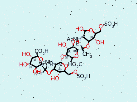 CCCC(C)(OC1[C@@H](O)C(COS(=O)(=O)O)O[C@@H](O[C@@H]2C(C(=O)O)O[C@@H](C(C)(CC)OC3[C@@H](O)C(COS(=O)(=O)O)OC(O)[C@H]3NC(C)=O)C(O)[C@H]2O)[C@H]1NC(C)=O)[C@@H]1OC(C(=O)O)[C@@H](O)[C@H](O)C1O